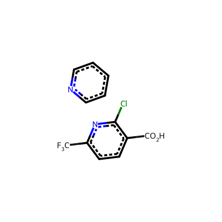 O=C(O)c1ccc(C(F)(F)F)nc1Cl.c1ccncc1